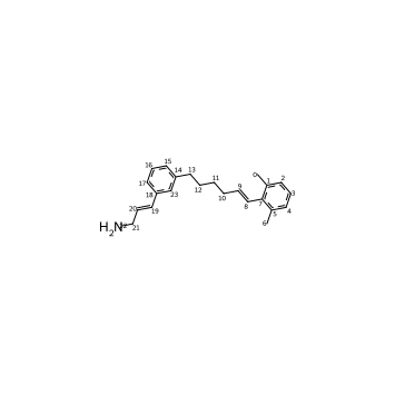 Cc1cccc(C)c1/C=C/CCCCc1cccc(/C=C/CN)c1